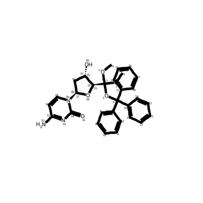 COC(OC)(OC(c1ccccc1)(c1ccccc1)c1ccccc1)[C@H]1O[C@@H](n2ccc(N)nc2=O)C[C@@H]1O